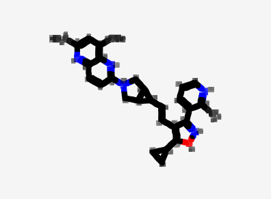 COc1cc(C(=O)O)nc2ccc(N3CC4C(C=Cc5c(-c6cccnc6C(F)(F)F)noc5C5CC5)C4C3)nc12